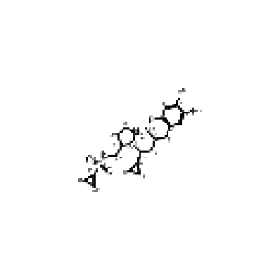 NC(Cc1cc(F)c(F)cc1F)CC(C1CC1)N1CCCC1CNS(=O)(=O)C1CC1